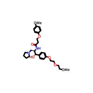 COCCOCCOc1ccc([C@@H](O)[C@@H](CN2CCCC2)NC(=O)CCOc2ccc(OC)cc2)cc1